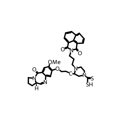 COc1cc2c(cc1OCCCC1CN(C(=S)S)CCN1CCCN1C(=O)c3cccc4cccc(c34)C1=O)N=C[C@@H]1CCCN1C2=O